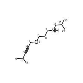 CC(C)C#CCOCCCNCC(C)C